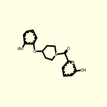 CC(C)(C)c1ccccc1OC1CCN(C(=O)c2cccc(O)n2)CC1